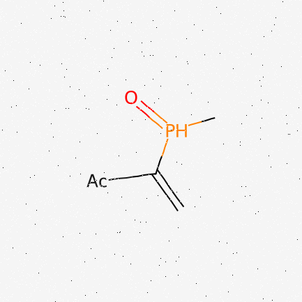 C=C(C(C)=O)[PH](C)=O